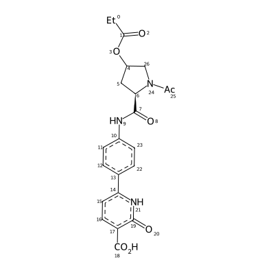 CCC(=O)OC1C[C@H](C(=O)Nc2ccc(-c3ccc(C(=O)O)c(=O)[nH]3)cc2)N(C(C)=O)C1